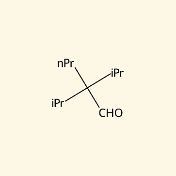 CCCC(C=O)(C(C)C)C(C)C